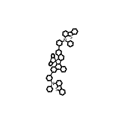 c1ccc(N(c2cccc(-c3ccc4c5c(ccc4c3)-c3c(c4ccc(-c6cccc(N(c7ccccc7)c7cccc8c7sc7ccccc78)c6)cc4c4ccccc34)C53c4ccccc4-c4ccccc43)c2)c2cccc3c2sc2ccccc23)cc1